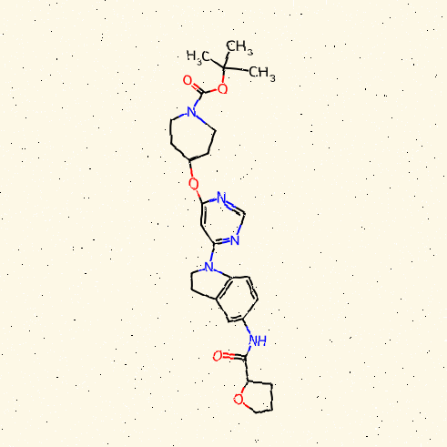 CC(C)(C)OC(=O)N1CCC(Oc2cc(N3CCc4cc(NC(=O)C5CCCO5)ccc43)ncn2)CC1